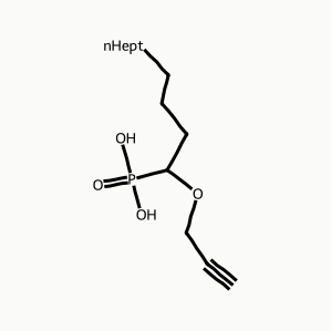 C#CCOC(CCCCCCCCCC)P(=O)(O)O